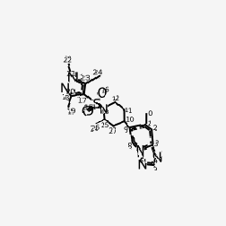 Cc1cc2ncnn2cc1C1CCN(S(=O)(=O)c2c(C)nn(C)c2C)C(C)C1